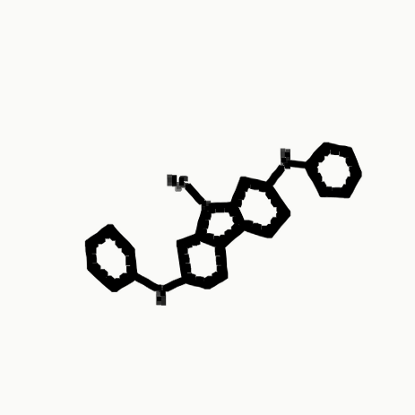 Cn1c2cc(Nc3ccccc3)ccc2c2ccc(Nc3ccccc3)cc21